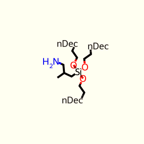 CCCCCCCCCCCCO[Si](CC(C)CN)(OCCCCCCCCCCCC)OCCCCCCCCCCCC